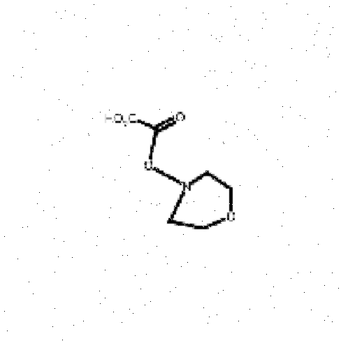 O=C(O)C(=O)ON1CCOCC1